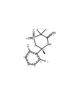 CC1(C)C(=N)N[C@](C)(c2c(F)cccc2F)CS1(=O)=O